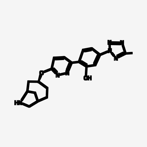 Cc1nnn(-c2ccc(-c3ccc(O[C@H]4CCC5CNC(C5)C4)nn3)c(O)c2)n1